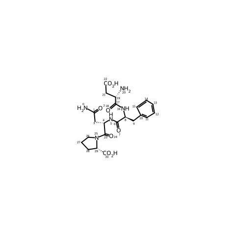 NC(=O)C[C@H](NC(=O)[C@H](Cc1ccccc1)NC(=O)[C@@H](N)CC(=O)O)C(=O)N1CCC[C@H]1C(=O)O